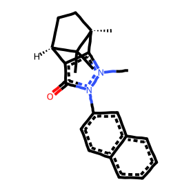 Cn1c2c(c(=O)n1-c1ccc3ccccc3c1)[C@H]1CC[C@]2(C)C1(C)C